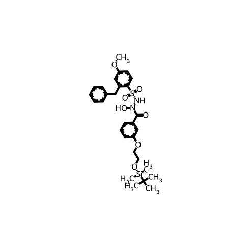 COc1ccc(S(=O)(=O)NN(O)C(=O)c2cccc(OCCO[Si](C)(C)C(C)(C)C)c2)c(Cc2ccccc2)c1